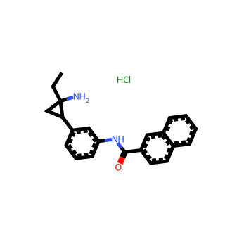 CCC1(N)CC1c1cccc(NC(=O)c2ccc3ccccc3c2)c1.Cl